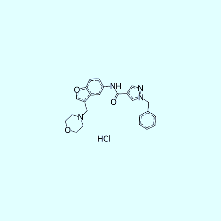 Cl.O=C(Nc1ccc2occ(CN3CCOCC3)c2c1)c1cnn(Cc2ccccc2)c1